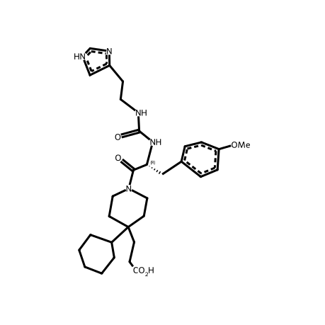 COc1ccc(C[C@@H](NC(=O)NCCc2c[nH]cn2)C(=O)N2CCC(CCC(=O)O)(C3CCCCC3)CC2)cc1